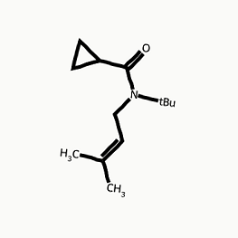 CC(C)=CCN(C(=O)C1CC1)C(C)(C)C